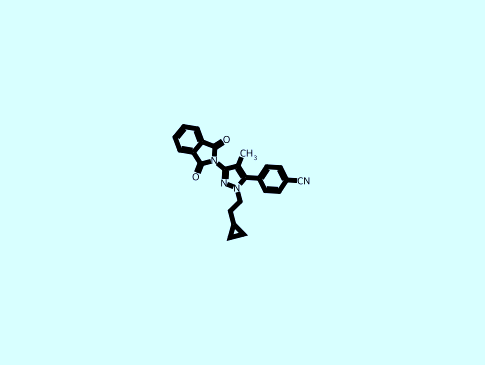 Cc1c(N2C(=O)c3ccccc3C2=O)nn(CCC2CC2)c1-c1ccc(C#N)cc1